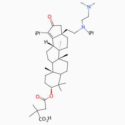 CC(C)C1=C2[C@H]3CCC4[C@@]5(C)CC[C@H](OC(=O)CC(C)(C)C(=O)O)C(C)(C)C5CC[C@@]4(C)[C@]3(C)CC[C@@]2(CCN(CCN(C)C)C(C)C)CC1=O